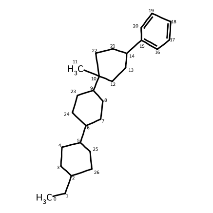 CCC1CCC(C2CCC(C3(C)CCC(c4ccccc4)CC3)CC2)CC1